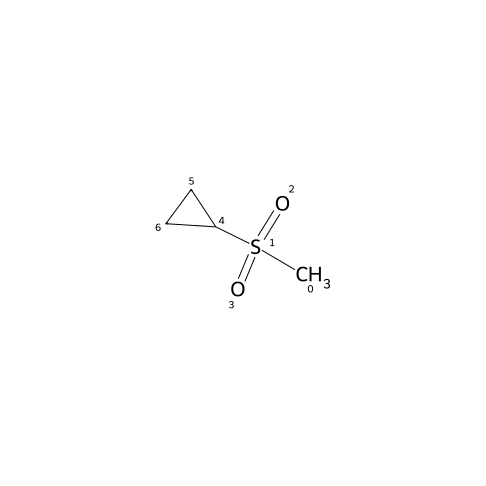 CS(=O)(=O)C1CC1